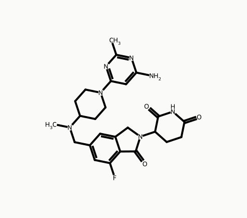 Cc1nc(N)cc(N2CCC(N(C)Cc3cc(F)c4c(c3)CN(C3CCC(=O)NC3=O)C4=O)CC2)n1